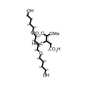 COC(C(=O)O)C(CC(=O)O)C(=O)O.OCCCCOCCCCOCCCCO